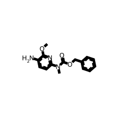 COc1nc(N(C)C(=O)OCc2ccccc2)ccc1N